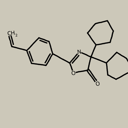 C=Cc1ccc(C2=NC(C3CCCCC3)(C3CCCCC3)C(=O)O2)cc1